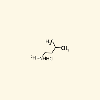 Cl.[2H]NCCC(C)C